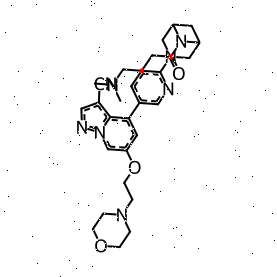 CN(C)CCCC(=O)N1C2CC1CN(c1ccc(-c3cc(OCCN4CCOCC4)cn4ncc(C#N)c34)cn1)C2